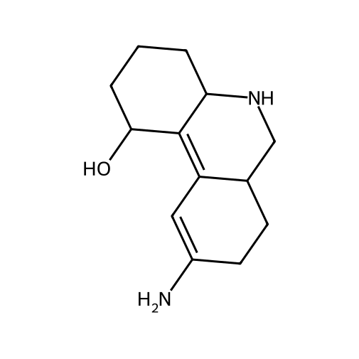 NC1=CC2=C3C(O)CCCC3NCC2CC1